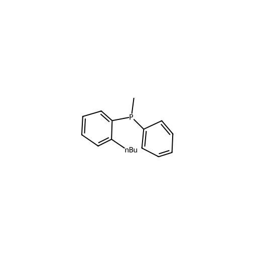 CCCCc1ccccc1P(C)c1ccccc1